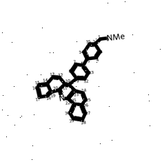 CNCc1ccc(-c2ccc(-c3c4ccc5ccccc5c4nc4c3ccc3ccccc34)cc2)cc1